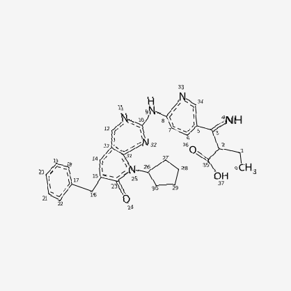 CCC(C(=N)c1ccc(Nc2ncc3cc(Cc4ccccc4)c(=O)n(C4CCCC4)c3n2)nc1)C(=O)O